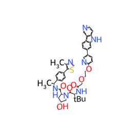 Cc1ncsc1-c1ccc([C@H](C)NC(=O)[C@@H]2C[C@@H](O)CN2C(=O)[C@@H](NC(=O)COCCOc2ccc(-c3ccc4c(c3)[nH]c3ccncc34)cn2)C(C)(C)C)cc1